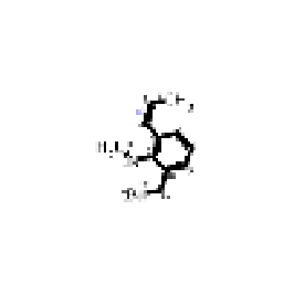 C=Nc1c(/C=C\C)cccc1CC(C)(C)C